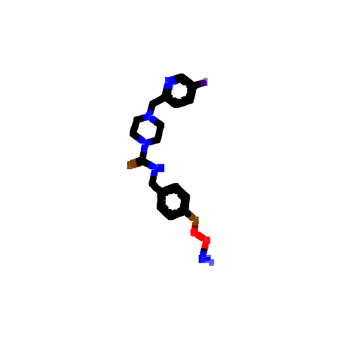 NOOSc1ccc(CNC(=S)N2CCN(Cc3ccc(I)cn3)CC2)cc1